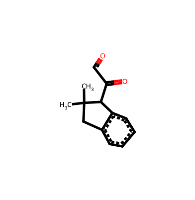 CC1(C)Cc2ccccc2C1C(=O)C=O